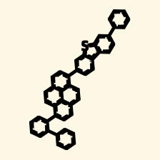 c1ccc(-c2ccc3c(c2)sc2cc(-c4ccc5ccc6c(-c7ccccc7-c7ccccc7)ccc7ccc4c5c76)ccc23)cc1